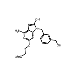 COCCOc1nc(N)c2nc(O)n(Cc3cccc(CO)c3)c2n1